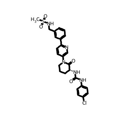 CS(=O)(=O)NCc1cccc(-c2ccc(N3CCC[C@@H](NC(=O)Nc4ccc(Cl)cc4)C3=O)cn2)c1